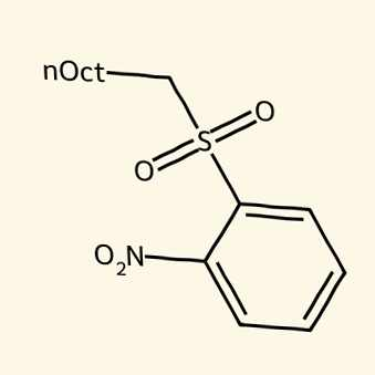 CCCCCCCCCS(=O)(=O)c1ccccc1[N+](=O)[O-]